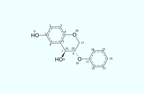 Oc1ccc2c(c1)[C@H](O)[C@@H](Oc1ccccc1)CO2